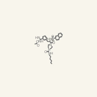 CCCCCCNC(=O)N1CCN(C(=O)C(Cc2cccc(C(=N)NOC(C)=O)c2)NS(=O)(=O)c2ccc3ccccc3c2)CC1